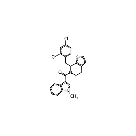 Cn1cc(C(=O)N2CCc3ccsc3C2Cc2ccc(Cl)cc2Cl)c2ccccc21